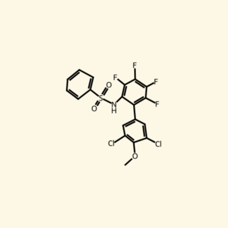 COc1c(Cl)cc(-c2c(F)c(F)c(F)c(F)c2NS(=O)(=O)c2ccccc2)cc1Cl